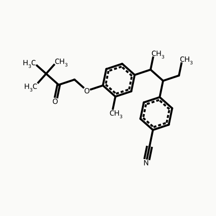 CCC(c1ccc(C#N)cc1)C(C)c1ccc(OCC(=O)C(C)(C)C)c(C)c1